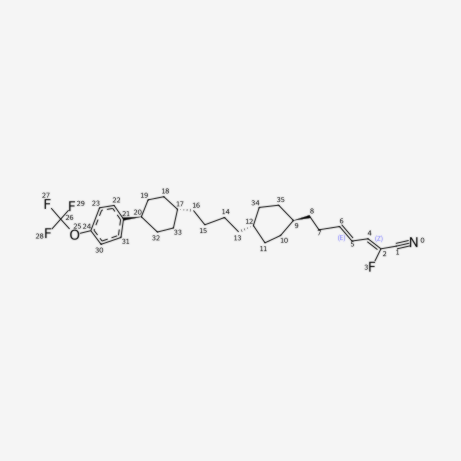 N#C/C(F)=C/C=C/CC[C@H]1CC[C@H](CCCC[C@H]2CC[C@H](c3ccc(OC(F)(F)F)cc3)CC2)CC1